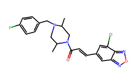 CC1CN(C(=O)C=Cc2cc(Cl)c3nonc3c2)C(C)CN1Cc1ccc(F)cc1